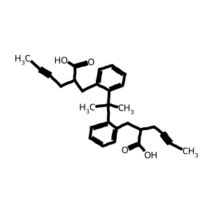 CC#CCC(Cc1ccccc1C(C)(C)c1ccccc1CC(CC#CC)C(=O)O)C(=O)O